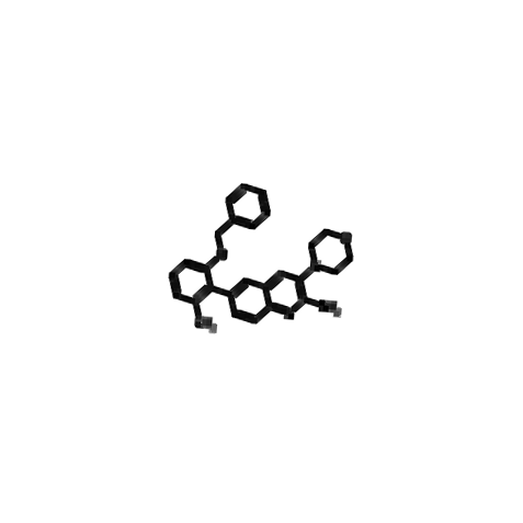 Cc1cccc(OCc2ccccc2)c1-c1ccc2nc(N)c(N3CCOCC3)cc2c1